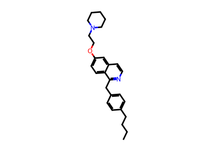 CCCCc1ccc(Cc2nccc3cc(OCCN4CCCCC4)ccc23)cc1